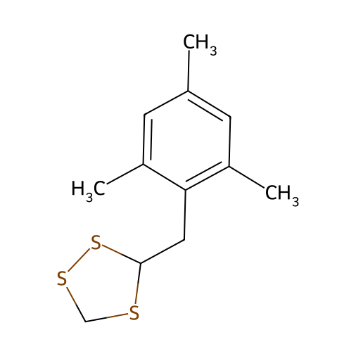 Cc1cc(C)c(CC2SCSS2)c(C)c1